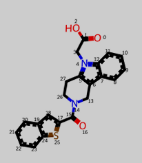 O=C(O)Cn1c2c(c3ccccc31)CN(C(=O)c1cc3ccccc3s1)CC2